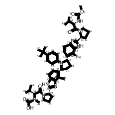 COC(=O)N[C@H](C(=O)N1CCC[C@H]1c1nc2ccc([C@@H]3CC[C@H](c4ccc5[nH]c([C@@H]6CCCN6C(=O)[C@H](C(C)C)N(C)C(=O)O)nc5c4F)N3c3ccc(C(C)(C)C)cc3)c(F)c2[nH]1)C(C)C